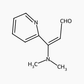 CN(C)/C(=C/C=O)c1ccccn1